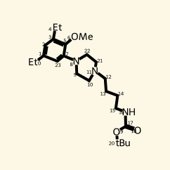 CCc1cc(CC)c(OC)c(N2CCN(CCCCNC(=O)OC(C)(C)C)CC2)c1